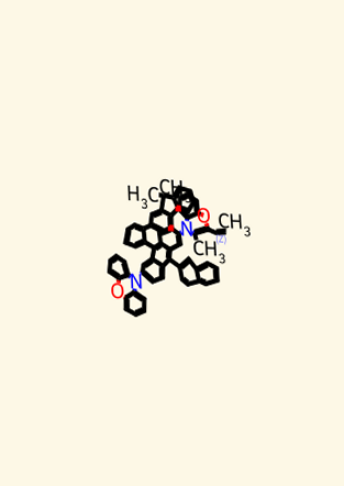 C/C=C\C1=C(C)N(c2ccc3c(-c4ccccc4-c4ccc5c(c4)C(C)(C)c4ccccc4-5)c4cc(N5c6ccccc6Oc6ccccc65)ccc4c(-c4ccc5ccccc5c4)c3c2)c2ccccc2O1